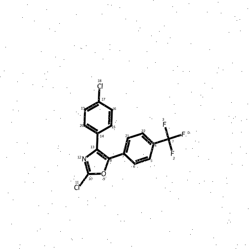 FC(F)(F)c1ccc(-c2oc(Cl)nc2-c2ccc(Cl)cc2)cc1